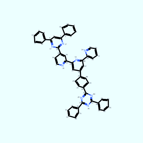 c1ccc(-c2cc(-c3ccccc3)nc(-c3ccnc(-c4cc(-c5ccc(-c6nc(-c7ccccc7)nc(-c7ccccc7)n6)cc5)cc(-c5ccccn5)n4)c3)n2)cc1